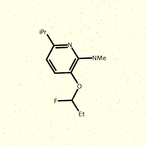 CCC(F)Oc1ccc(C(C)C)nc1NC